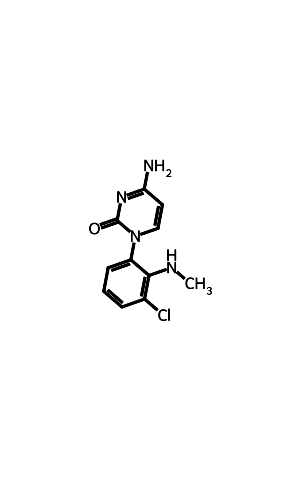 CNc1c(Cl)cccc1-n1ccc(N)nc1=O